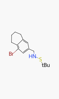 CC(C)(C)SNCc1cc(Br)c2c(c1)CCCC2